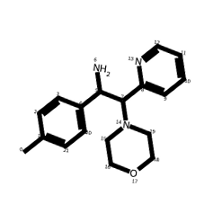 Cc1ccc(C(N)C(c2ccccn2)N2CCOCC2)cc1